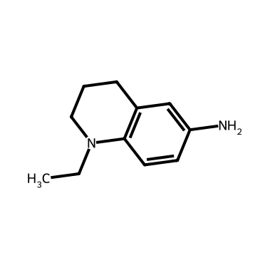 CCN1CCCc2cc(N)ccc21